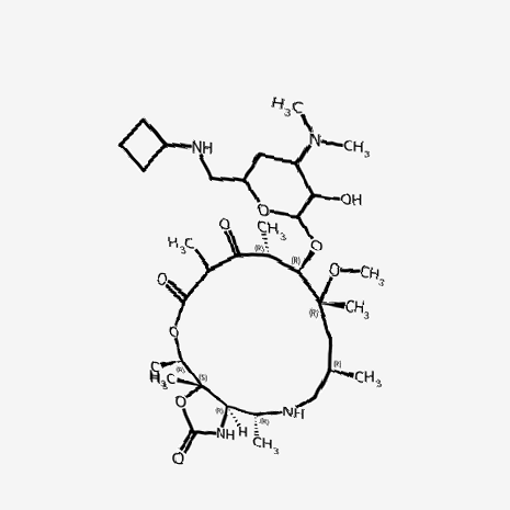 CO[C@]1(C)C[C@@H](C)CN[C@H](C)[C@H]2NC(=O)O[C@]2(C)[C@@H](C)OC(=O)C(C)C(=O)[C@H](C)[C@H]1OC1OC(CNC2CCC2)CC(N(C)C)C1O